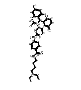 CCN(CC)CCCCNC(=O)c1ccc(Nc2nccc(N(C(=O)O)C(c3cc(Cl)ccc3Cl)c3c(C)cc(C)cc3C)n2)cc1